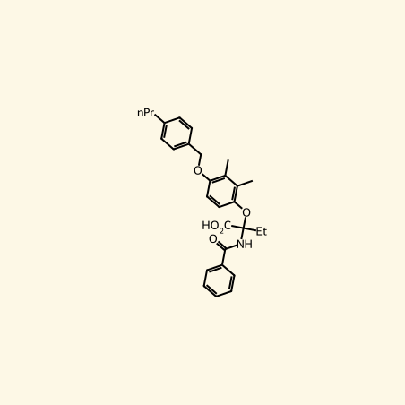 CCCc1ccc(COc2ccc(OC(CC)(NC(=O)c3ccccc3)C(=O)O)c(C)c2C)cc1